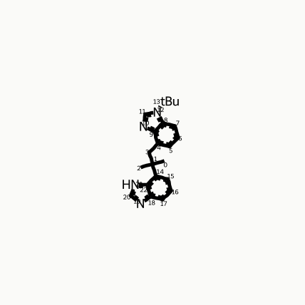 CC(C)(Cc1cccc2c1ncn2C(C)(C)C)c1cccc2nc[nH]c12